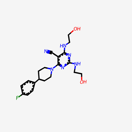 N#Cc1c(NCCO)nc(NCCO)nc1N1CCC(c2ccc(F)cc2)CC1